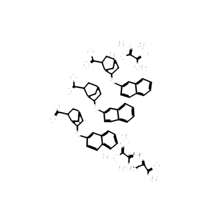 C=C(C)C(=O)O.C=C(C)C(=O)O.C=C(C)C(=O)O.O=C([O-])C1CC2CC(Sc3ccc4ccccc4c3)C1C2.O=C([O-])C1CC2CC(Sc3ccc4ccccc4c3)C1C2.O=C([O-])C1CC2CC(Sc3ccc4ccccc4c3)C1C2.[Al+3]